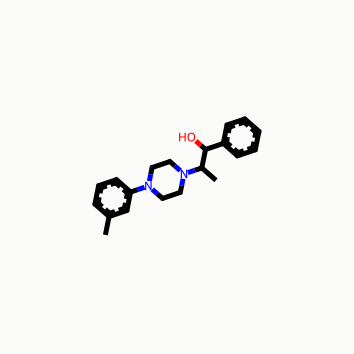 Cc1cccc(N2CCN(C(C)C(O)c3ccccc3)CC2)c1